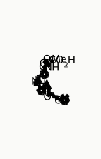 COC(=O)[C@H](CC(=O)O)NC(=O)c1cccc(Cn2cc(-c3cccc4c3[C@H]3C[C@H]3CN4C(=O)CCCOc3cccc(C)c3C)cn2)c1